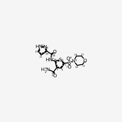 NC(=O)c1cc(S(=O)(=O)N2CCOCC2)sc1NC(=O)c1cc[nH]n1